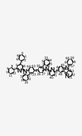 c1ccc(-c2cc(-c3ccccc3)nc(-n3c4ccccc4c4cc(-c5ccc6c(c5)c5ccccc5n6-c5cccc(-c6ccc7c(c6)c6ncccc6n7-c6ccccc6)n5)ccc43)c2)cc1